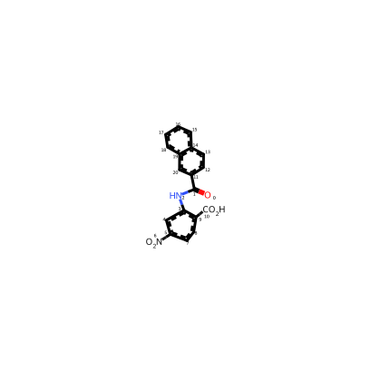 O=C(Nc1cc([N+](=O)[O-])ccc1C(=O)O)c1ccc2ccccc2c1